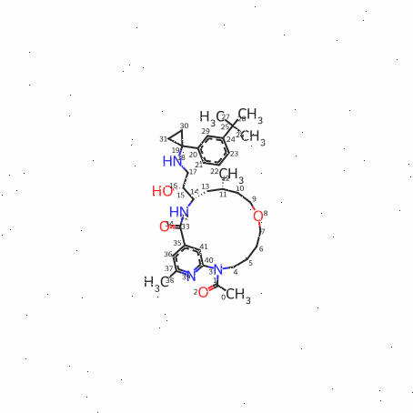 CC(=O)N1CCCCOCC[C@@H](C)C[C@@H]([C@H](O)CNC2(c3cccc(C(C)(C)C)c3)CC2)NC(=O)c2cc(C)nc1c2